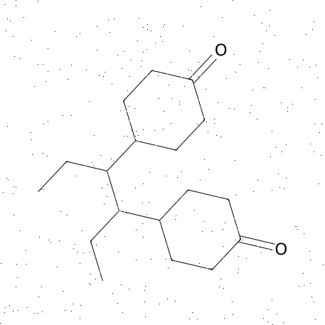 CCC(C1CCC(=O)CC1)C(CC)C1CCC(=O)CC1